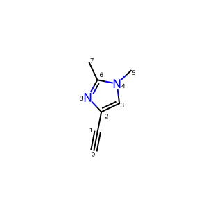 C#Cc1cn(C)c(C)n1